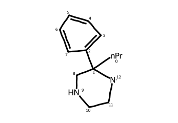 CCCC1(c2ccccc2)CNCC[N]1